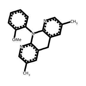 COc1ccccc1N1c2ncc(C)cc2Cc2cc(C)cnc21